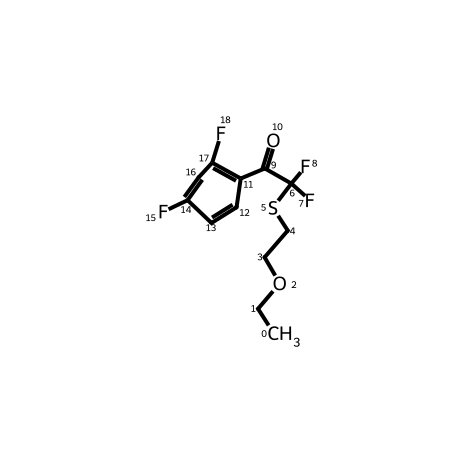 CCOCCSC(F)(F)C(=O)c1ccc(F)cc1F